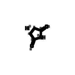 I.O=C1CCC(=O)N1